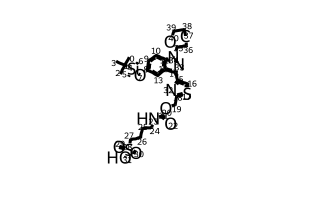 CC(C)(C)[Si](C)(C)Oc1ccc2c(c1)c(-c1csc(COC(=O)NCCCCS(=O)(=O)O)n1)nn2C1CCCCO1